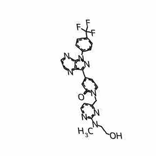 CN(CCO)c1nccc(Cn2ccc(-c3nn(-c4ccc(C(F)(F)F)cc4)c4nccnc34)cc2=O)n1